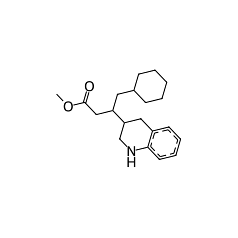 COC(=O)CC(CC1CCCCC1)C1CNc2ccccc2C1